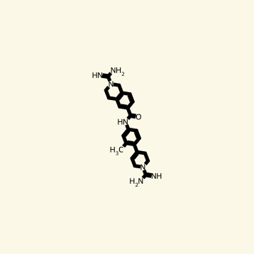 Cc1cc(NC(=O)c2ccc3c(c2)CCN(C(=N)N)C3)ccc1C1=CCN(C(=N)N)CC1